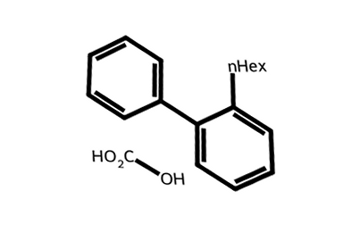 CCCCCCc1ccccc1-c1ccccc1.O=C(O)O